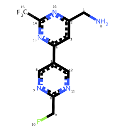 NCc1cc(-c2cnc(CF)nc2)nc(C(F)(F)F)n1